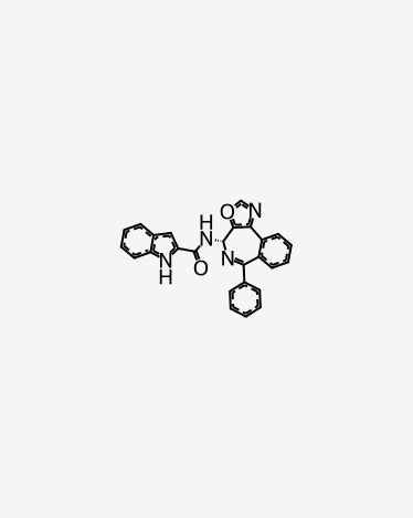 O=C(N[C@H]1N=C(c2ccccc2)c2ccccc2-c2ncoc21)c1cc2ccccc2[nH]1